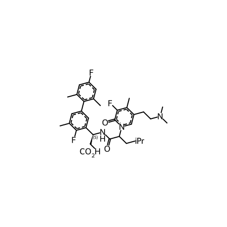 Cc1cc(-c2c(C)cc(F)cc2C)cc([C@H](CC(=O)O)NC(=O)C(CC(C)C)n2cc(CCN(C)C)c(C)c(F)c2=O)c1F